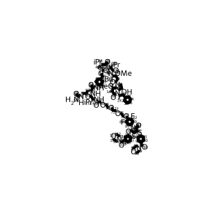 CCC(C)[C@@H]([C@@H](CC(=O)N1CCC[C@H]1[C@H](OC)[C@@H](C)C(=O)N[C@H](C)[C@@H](O)c1ccccc1)OC)N(C)C(=O)[C@@H](NC(=O)[C@H](C(C)C)N(C)C(=O)OCc1ccc(NC(=O)[C@H](CCCNC(N)=O)NC(=O)[C@@H](NC(=O)COCCOCCOCCOc2c(F)cc(N3C(=O)C(Sc4ccc(C(=O)N5CCOCC5)cc4)=C(Sc4ccc(C(=O)N5CCOCC5)cc4)C3=O)cc2F)C(C)C)cc1)C(C)C